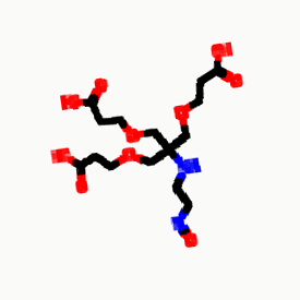 O=NCCNC(COCCC(=O)O)(COCCC(=O)O)COCCC(=O)O